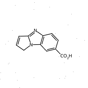 O=C(O)c1ccc2nc3n(c2c1)CC=C3